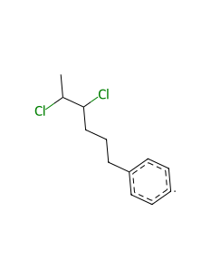 CC(Cl)C(Cl)CCCc1cc[c]cc1